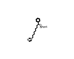 CCCCCOC(CCCCCCCCn1ccnc1)c1ccccc1